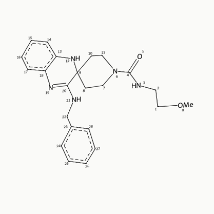 COCCNC(=O)N1CCC2(CC1)Nc1ccccc1N=C2NCc1ccccc1